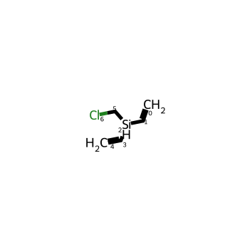 C=C[SiH](C=C)CCl